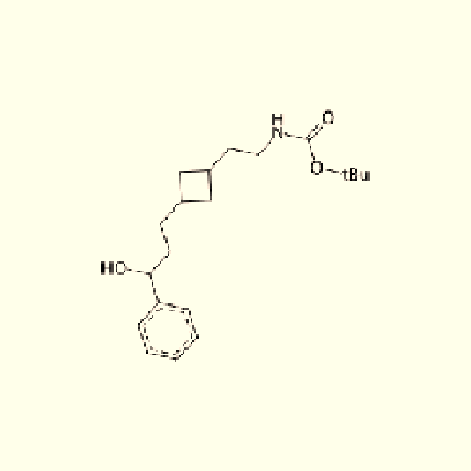 CC(C)(C)OC(=O)NCCC1CC(CCC(O)c2ccccc2)C1